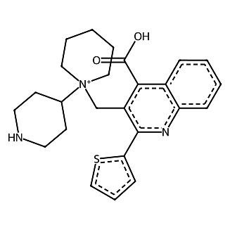 O=C(O)c1c(C[N+]2(C3CCNCC3)CCCCC2)c(-c2cccs2)nc2ccccc12